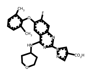 Cc1cccc(C)c1Oc1cc2c(NC3CCOCC3)nc(-n3cc(C(=O)O)cn3)nc2cc1F